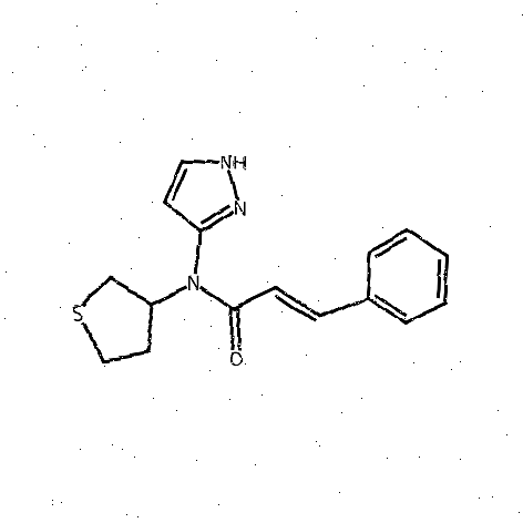 O=C(/C=C/c1ccccc1)N(c1cc[nH]n1)C1CCSC1